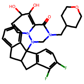 O=C1C2=C(O)C(O)C=CN2N(C23c4ccccc4CC2Cc2c3ccc(F)c2F)CN1CC1CCOCC1